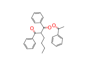 CC(=O)c1ccccc1.CCCCC(C(=O)c1ccccc1)C(=O)c1ccccc1